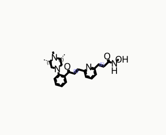 C[C@@H]1CN(c2ccccc2C(=O)/C=C/c2cccc(/C=C/C(=O)NO)n2)C[C@H](C)N1C